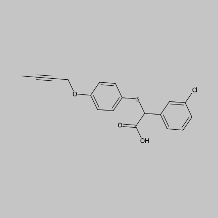 CC#CCOc1ccc(SC(C(=O)O)c2cccc(Cl)c2)cc1